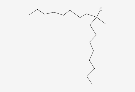 CCCCCCCCC(C)([O])CCCCCCCC